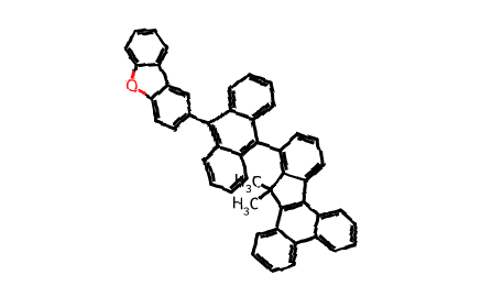 CC1(C)c2c(-c3c4ccccc4c(-c4ccc5oc6ccccc6c5c4)c4ccccc34)cccc2-c2c1c1ccccc1c1ccccc21